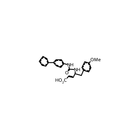 COc1ccc(CC(C=CC(=O)O)NC(=O)Nc2ccc(-c3ccccc3)cc2)cc1